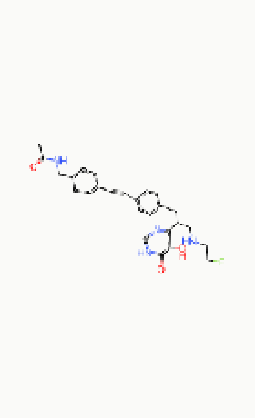 CC(=O)NCc1ccc(C#Cc2ccc(CC(CNCCF)c3nc[nH]c(=O)c3O)cc2)cc1